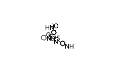 CNc1ccc(-c2ncc(-c3ccc(NC(C)=O)cc3S(=O)(=O)NC3CCCCC3)s2)cc1